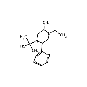 CCN1CC(c2ccccn2)N(C(C)(C)S)CC1C